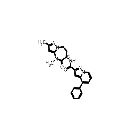 Cc1cc2n(n1)CC[C@H](NC(=O)c1cc3c(-c4ccccc4)cccn3n1)C(=O)N2C